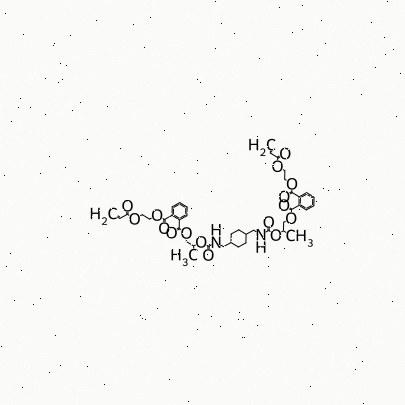 C=CC(=O)OCCOC(=O)c1ccccc1C(=O)OCC(C)OC(=O)NCC1CCC(CNC(=O)OC(C)COC(=O)c2ccccc2C(=O)OCCOC(=O)C=C)CC1